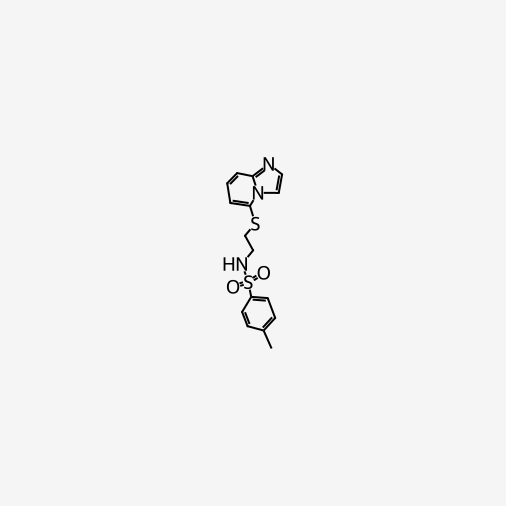 Cc1ccc(S(=O)(=O)NCCSc2cccc3nccn23)cc1